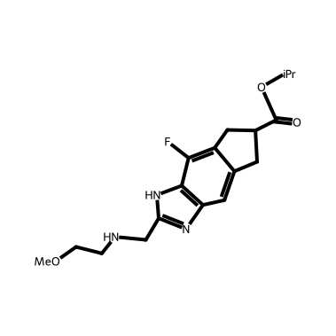 COCCNCc1nc2cc3c(c(F)c2[nH]1)CC(C(=O)OC(C)C)C3